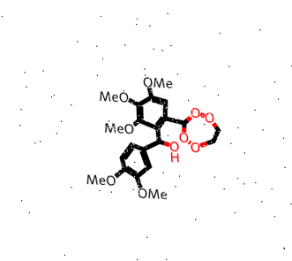 COc1ccc(C(O)c2c(C3OOCCOO3)cc(OC)c(OC)c2OC)cc1OC